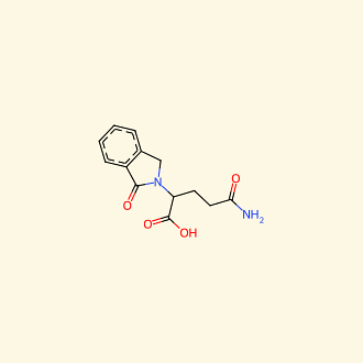 NC(=O)CCC(C(=O)O)N1Cc2ccccc2C1=O